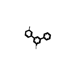 C[C@H]1C=C(c2cc(I)cc(-c3ccccc3)c2)C=CC1